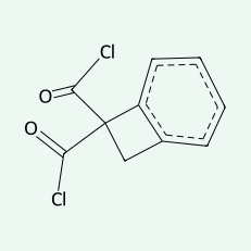 O=C(Cl)C1(C(=O)Cl)Cc2ccccc21